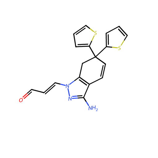 Nc1nn(C=CC=O)c2c1C=CC(c1cccs1)(c1cccs1)C2